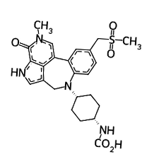 Cn1cc2c3c(c[nH]c3c1=O)CN([C@H]1CC[C@@H](NC(=O)O)CC1)c1ccc(CS(C)(=O)=O)cc1-2